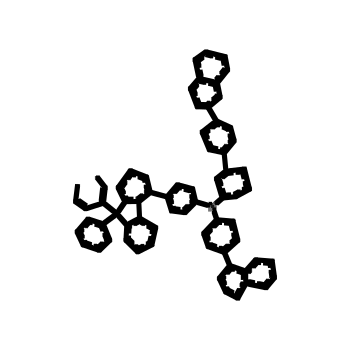 C/C=C\C(=C/C)C1(c2ccccc2)c2ccccc2-c2c(-c3ccc(N(c4ccc(-c5cccc6ccccc56)cc4)c4cccc(-c5ccc(-c6ccc7ccccc7c6)cc5)c4)cc3)cccc21